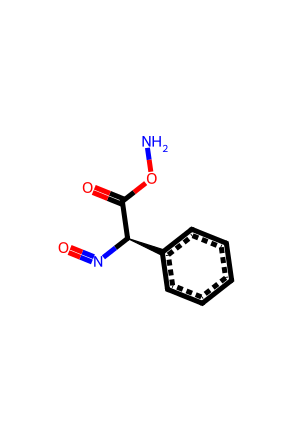 NOC(=O)[C@H](N=O)c1ccccc1